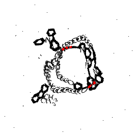 CC1(C)c2ccccc2-c2ccc(N3CCOCCOCCOc4ccc(cc4)-c4ccc5ccc6c(-c7cc8ccc7-c7ccc9ccc%10ccc(nc%10c9n7)-c7ccc(cc7)OCCOCCOCCN(c7ccc9c(c7)c7ccccc7n9-c7ccccc7)CCOCCOCCO8)cc(nc6c5n4)-c4ccc(cc4)OCCOCCOCC3)cc21